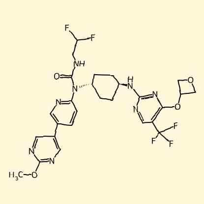 COc1ncc(-c2ccc(N(C(=O)NCC(F)F)[C@H]3CC[C@H](Nc4ncc(C(F)(F)F)c(OC5COC5)n4)CC3)nc2)cn1